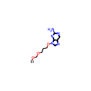 CCOCOCCCOn1cnc2cnc(N)nc21